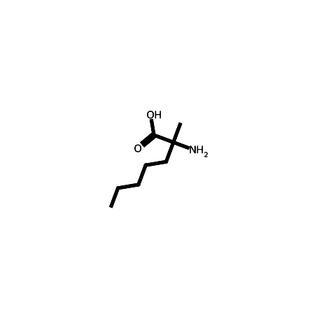 CCCCCC(C)(N)C(=O)O